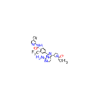 C=CC(=O)N1CCC(c2nc(-c3ccc(C(=O)Nc4cc(C#N)ccn4)c(C(F)(F)F)c3)n3c(N)nccc23)C1